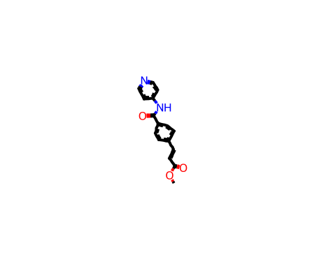 COC(=O)C=Cc1ccc(C(=O)Nc2ccncc2)cc1